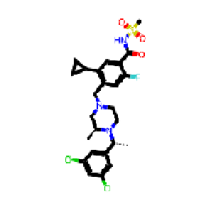 C[C@H](c1cc(Cl)cc(Cl)c1)N1CCN(Cc2cc(F)c(C(=O)NS(C)(=O)=O)cc2C2CC2)C[C@@H]1C